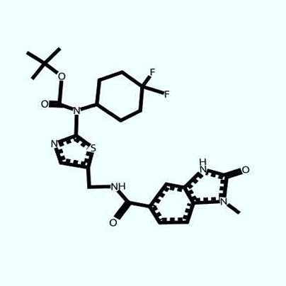 Cn1c(=O)[nH]c2cc(C(=O)NCc3cnc(N(C(=O)OC(C)(C)C)C4CCC(F)(F)CC4)s3)ccc21